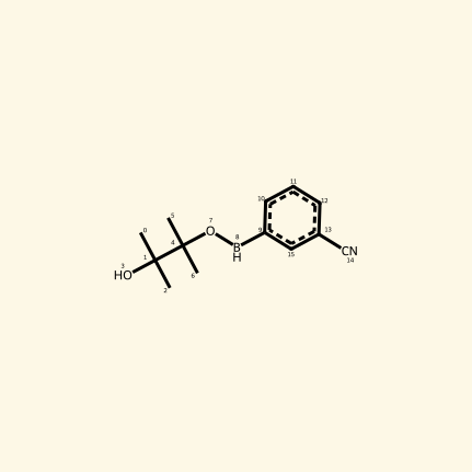 CC(C)(O)C(C)(C)OBc1cccc(C#N)c1